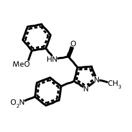 COc1ccccc1NC(=O)c1cn(C)nc1-c1ccc([N+](=O)[O-])cc1